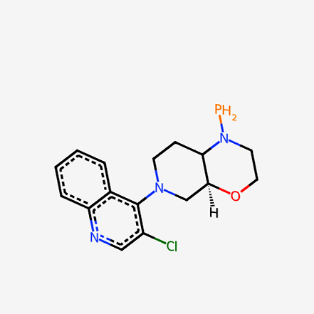 PN1CCO[C@H]2CN(c3c(Cl)cnc4ccccc34)CCC21